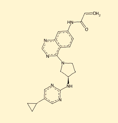 C=CC(=O)Nc1ccc2c(N3CC[C@@H](Nc4ncc(C5CC5)cn4)C3)ncnc2c1